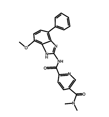 COc1ccc(-c2ccccc2)c2nc(NC(=O)c3ccc(C(=O)N(C)C)cn3)[nH]c12